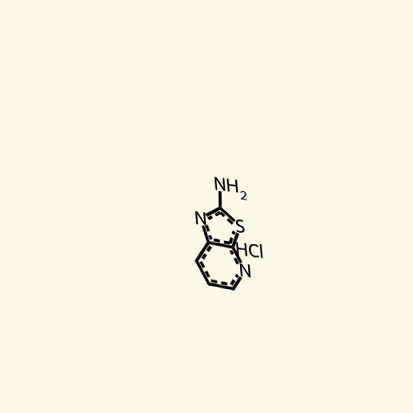 Cl.Nc1nc2cccnc2s1